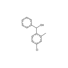 Cc1cc(Cl)ccc1C(O)c1ccccc1